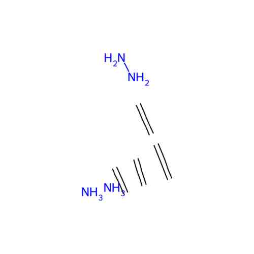 C=C.C=C.C=C.C=C.N.N.NN